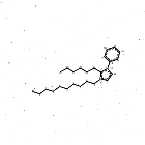 CCCCCCCCCC[n+]1ccn(-c2ccccc2)c1CCCCCC